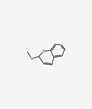 COC1C=Cc2ccccc2O1